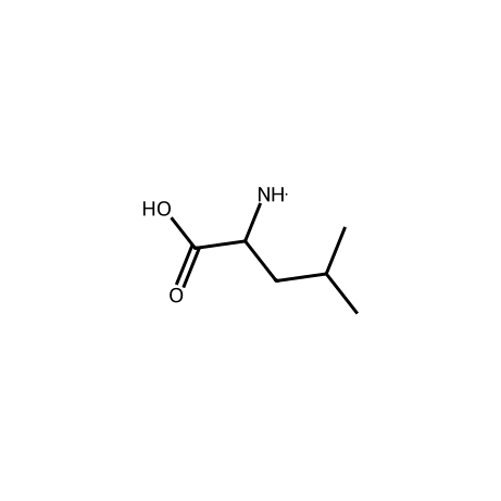 CC(C)CC([NH])C(=O)O